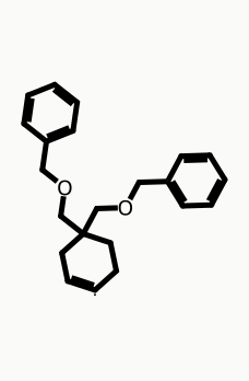 [C]1=CCC(COCc2ccccc2)(COCc2ccccc2)CC1